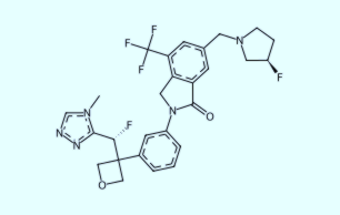 Cn1cnnc1[C@H](F)C1(c2cccc(N3Cc4c(cc(CN5CC[C@@H](F)C5)cc4C(F)(F)F)C3=O)c2)COC1